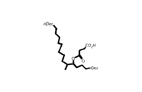 CCCCCCCCCCCCCCCCCCC(C)C(CCCCCCCCCCCCC)OC(=O)CCC(=O)O